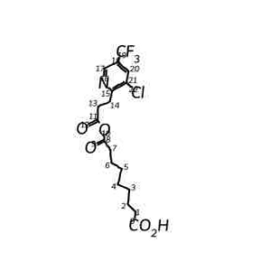 O=C(O)CCCCCCCC(=O)OC(=O)CCc1ncc(C(F)(F)F)cc1Cl